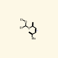 C=C(/C=C\C(=C)C(C)CC)OC(CC)OCC